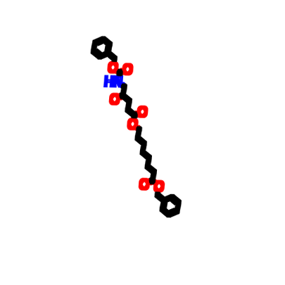 O=C(CCC(=O)OCCCCCCCC(=O)OCc1ccccc1)CNC(=O)OCc1ccccc1